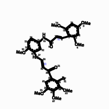 COc1cc(OC)c(/C=C/C(=O)Nc2ccc(OC)c(N/C=C/C(=O)c3cc(OC)c(OC)c(OC)c3Br)c2)c(OC)c1